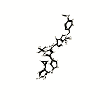 COc1ccc(CN2Cc3c(ccc(Nc4cc(C5CCC(Oc6nscc6C6CC6)C5)nn4C(C)(C)C)c3F)S2(=O)=O)cc1